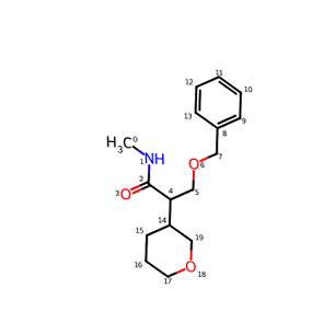 CNC(=O)C(COCc1ccccc1)C1CCCOC1